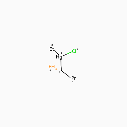 C[CH2][Hg]([Cl])[CH2]C(C)C.P